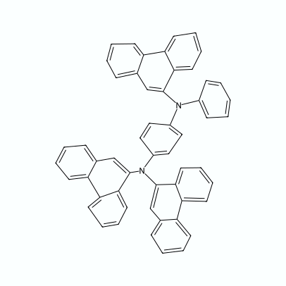 c1ccc(N(c2ccc(N(c3cc4ccccc4c4ccccc34)c3cc4ccccc4c4ccccc34)cc2)c2cc3ccccc3c3ccccc23)cc1